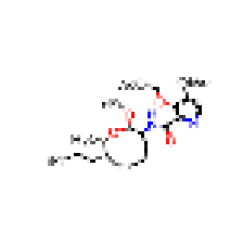 CCCOC1O[C@@H](C)[C@H](CCC(C)C)CCCC[C@@H]1NC(=O)c1nccc(OC)c1OCOC(C)=O